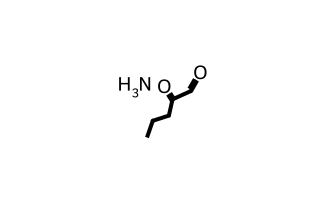 CCCC(=O)C=O.N